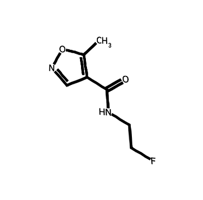 Cc1oncc1C(=O)NCCF